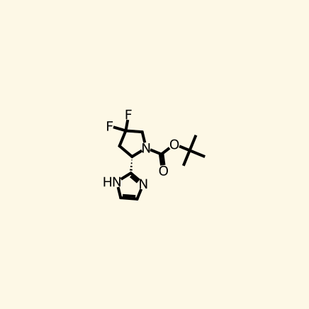 CC(C)(C)OC(=O)N1CC(F)(F)C[C@H]1c1ncc[nH]1